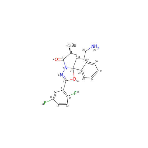 CC(C)CO[C@@H](C)C(=O)N1N=C(c2cc(F)ccc2F)OC1(CCCN)c1ccccc1